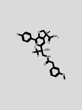 COc1cccc(CC(=O)NC[C@](O)(c2cc3c(c(-c4ccc(F)cc4)n2)OC[C@]3(C)C(N)=O)C(F)(F)F)c1